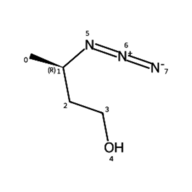 C[C@H](CCO)N=[N+]=[N-]